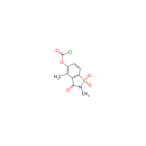 Cc1c(OC(=O)Cl)ccc2c1C(=O)N(C)S2(=O)=O